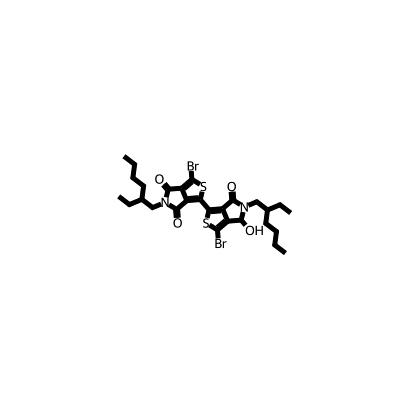 CCCCC(CC)CN1C(=O)c2c(Br)sc(-c3sc(Br)c4c3C(=O)N(CC(CC)CCCC)C4O)c2C1=O